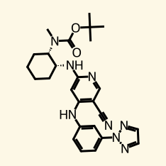 CN(C(=O)OC(C)(C)C)[C@H]1CCCC[C@H]1Nc1cc(Nc2cccc(-n3nccn3)c2)c(C#N)cn1